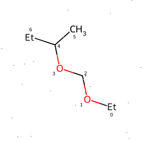 CCO[CH]OC(C)CC